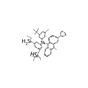 CC[SiH2]c1cc(N(c2cc(C)cc(C(C)(C)C)c2)c2c3ccccc3c(C)c3cc(-c4ccccc4)ccc23)cc([SiH](CC)CC)c1